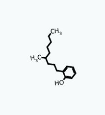 CCCCCC(C)CCCc1ccccc1O